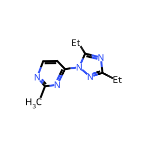 CCc1nc(CC)n(-c2ccnc(C)n2)n1